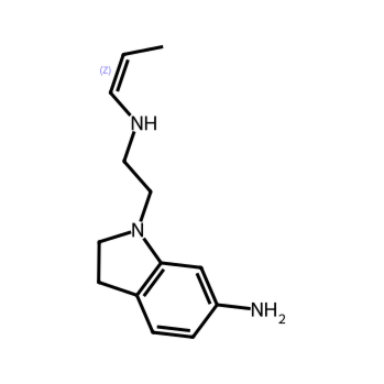 C/C=C\NCCN1CCc2ccc(N)cc21